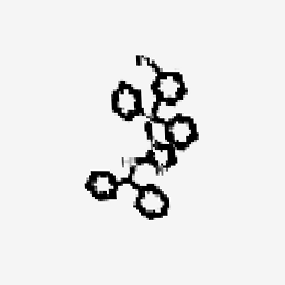 CC(C)c1cccc([Si](Cn2ccnc2BC(c2ccccc2)c2ccccc2)(c2ccccc2)c2ccccc2)c1